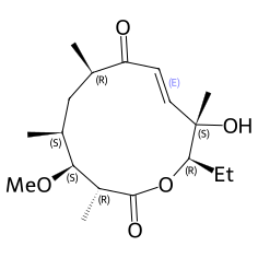 CC[C@H]1OC(=O)[C@H](C)[C@@H](OC)[C@@H](C)C[C@@H](C)C(=O)/C=C/[C@]1(C)O